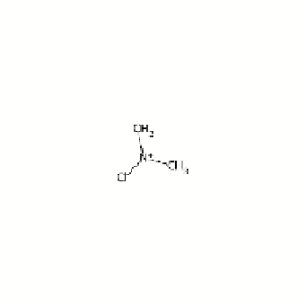 C[N+](C)Cl